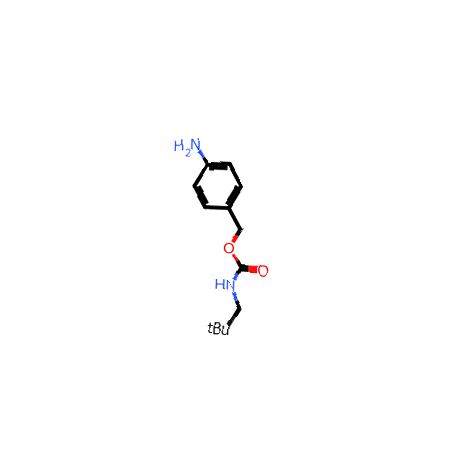 CC(C)(C)CNC(=O)OCc1ccc(N)cc1